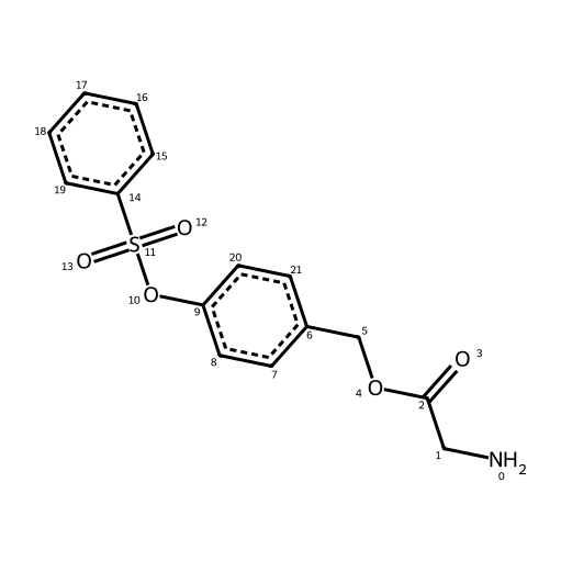 NCC(=O)OCc1ccc(OS(=O)(=O)c2ccccc2)cc1